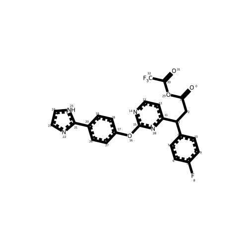 O=C(CC(c1ccc(F)cc1)c1ccnc(Oc2ccc(-c3ncc[nH]3)cc2)n1)OC(=O)C(F)(F)F